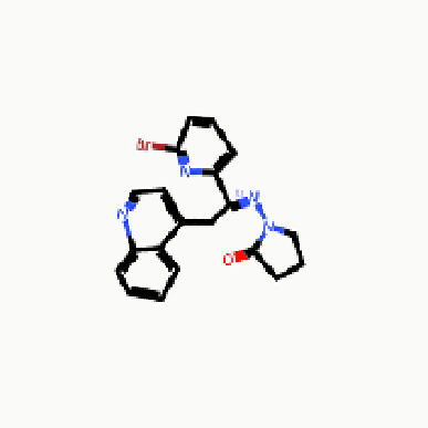 O=C1CCCN1/N=C(\Cc1ccnc2ccccc12)c1cccc(Br)n1